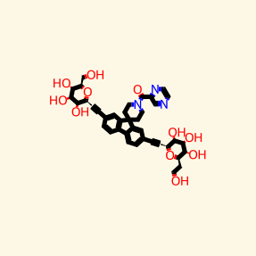 O=C(c1cnccn1)N1CCC2(CC1)c1cc(C#C[C@H]3O[C@H](CO)[C@@H](O)[C@H](O)[C@@H]3O)ccc1-c1ccc(C#C[C@H]3O[C@H](CCO)[C@@H](O)[C@H](O)[C@@H]3O)cc12